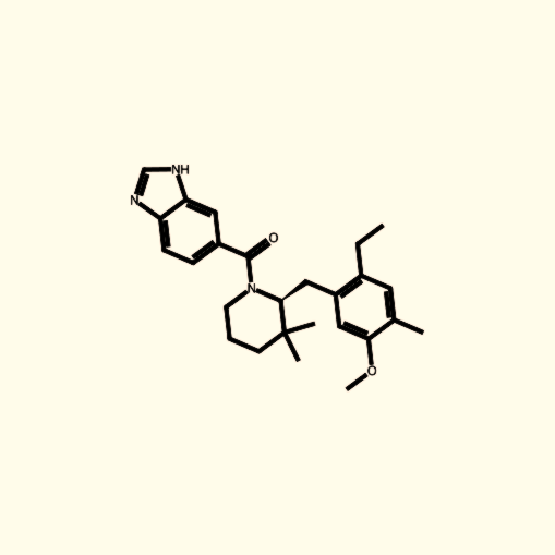 CCc1cc(C)c(OC)cc1C[C@@H]1N(C(=O)c2ccc3nc[nH]c3c2)CCCC1(C)C